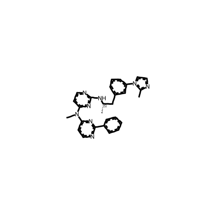 Cc1nccn1-c1cccc(C[C@H](C)Nc2nccc(N(C)c3ccnc(-c4ccccc4)n3)n2)c1